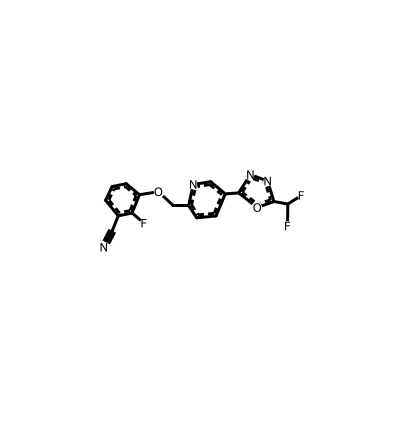 N#Cc1cccc(OCc2ccc(-c3nnc(C(F)F)o3)cn2)c1F